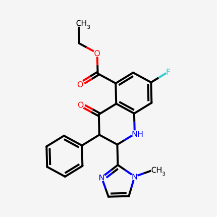 CCOC(=O)c1cc(F)cc2c1C(=O)C(c1ccccc1)C(c1nccn1C)N2